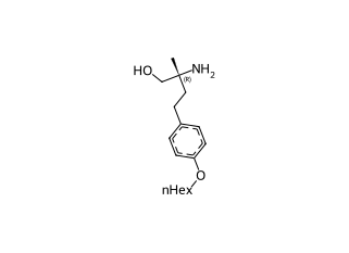 CCCCCCOc1ccc(CC[C@@](C)(N)CO)cc1